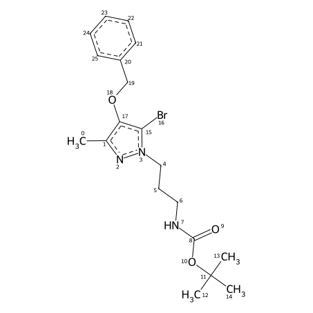 Cc1nn(CCCNC(=O)OC(C)(C)C)c(Br)c1OCc1ccccc1